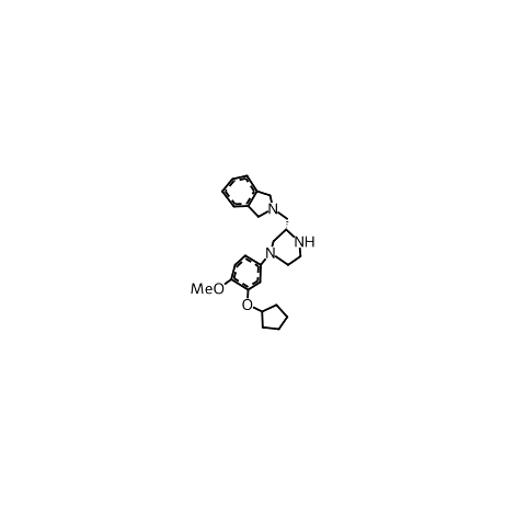 COc1ccc(N2CCN[C@@H](CN3Cc4ccccc4C3)C2)cc1OC1CCCC1